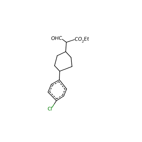 CCOC(=O)C(C=O)C1CCC(c2ccc(Cl)cc2)CC1